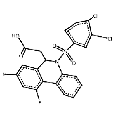 O=C(O)CC1c2cc(F)cc(F)c2-c2ccccc2N1S(=O)(=O)c1ccc(Cl)c(Cl)c1